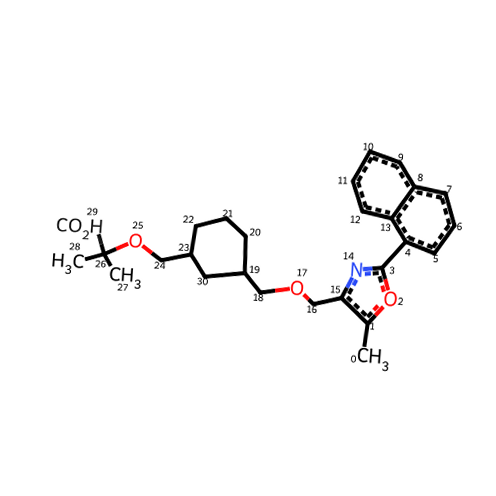 Cc1oc(-c2cccc3ccccc23)nc1COCC1CCCC(COC(C)(C)C(=O)O)C1